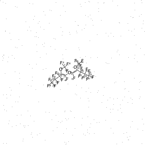 FC(OC(F)=C(OC(F)(F)F)C(F)(F)C(F)(F)C(F)(F)F)=C(OC(F)(F)F)C(F)(F)C(F)(F)C(F)(F)F